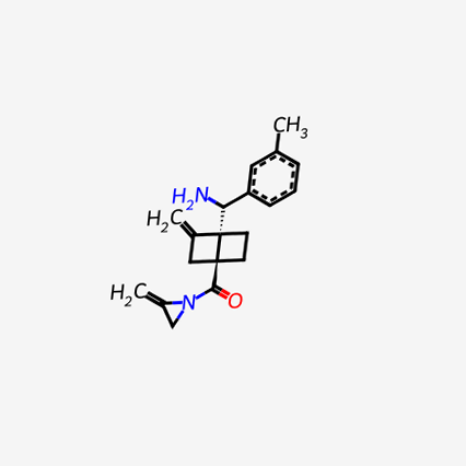 C=C1CN1C(=O)[C@]12CC[C@]1(C(N)c1cccc(C)c1)C(=C)C2